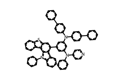 c1ccc(-c2ccc(N(c3ccc(-c4ccccc4)cc3)c3cc(-c4cc5sc6ccccc6c5c5c4c4ccccc4n5-c4ccccc4)cc(N(c4ccccc4)c4ccncc4)c3)cc2)cc1